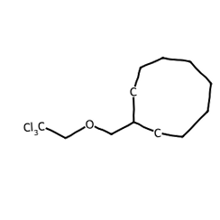 ClC(Cl)(Cl)COCC1CCCCCCCC1